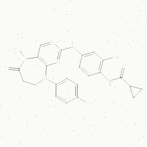 CCN1C(=O)CCN(c2ccc(C)cc2)c2nc(Nc3ccc(NC(=O)C4CC4)c(C)c3)ncc21